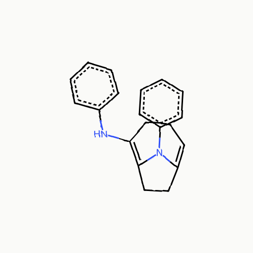 C1=C2CCC(=C(Nc3ccccc3)CC1)N2c1ccccc1